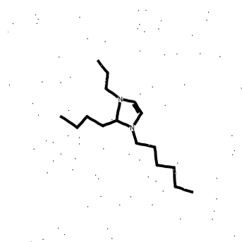 CCCCCCN1C=CN(CCC)C1CCCC